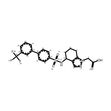 O=C(O)Cn1ncc2c1CCCC2NS(=O)(=O)c1ccc(-c2cccc(C(F)(F)F)c2)cc1